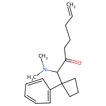 C=CCCCC(=O)C(N(C)C)C1(c2ccccc2)CCC1